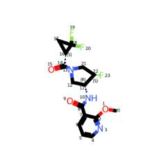 COc1ncccc1C(=O)N[C@@H]1CN(C(=O)[C@@H]2CC2(F)F)C[C@@H]1F